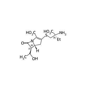 CC[C@](N)(CSC1=C(C(=O)O)N2C(=O)[C@H](C(C)O)[C@H]2C1)C(=O)O